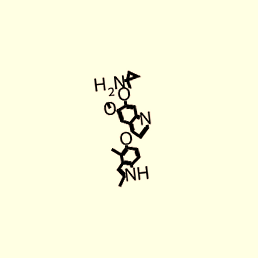 COc1cc2c(Oc3ccc4[nH]c(C)cc4c3C)ccnc2cc1OCC1(N)CC1